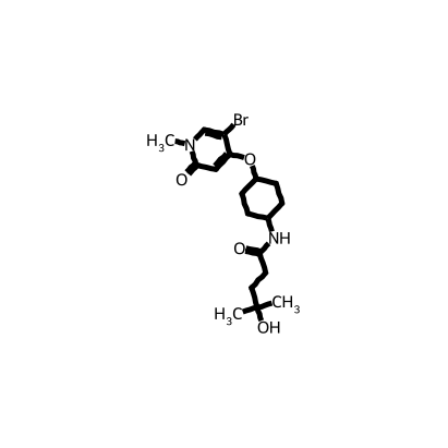 Cn1cc(Br)c(OC2CCC(NC(=O)CCC(C)(C)O)CC2)cc1=O